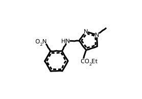 CCOC(=O)c1cn(C)nc1Nc1ccccc1[N+](=O)[O-]